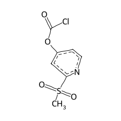 CS(=O)(=O)c1cc(OC(=O)Cl)ccn1